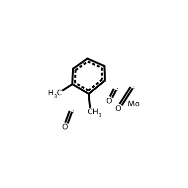 Cc1ccccc1C.[C]=O.[C]=O.[C]=O.[Mo]